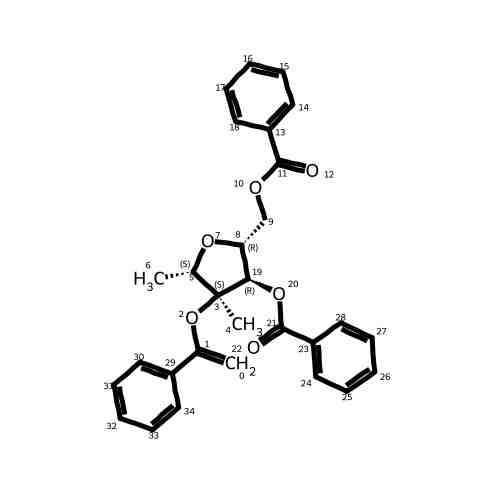 C=C(O[C@@]1(C)[C@H](C)O[C@H](COC(=O)c2ccccc2)[C@H]1OC(=O)c1ccccc1)c1ccccc1